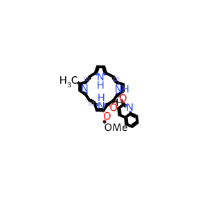 COCOC1=C/C2=C/C3=NC(=C\c4ccc([nH]4)/C=C4/C=C[C@@](Oc5ccc6ccccc6n5)(N4)[C@H]4OC14N2)/C(C)=C3